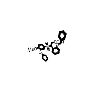 COc1ccc(S(=O)(=O)C(CC(=O)O)c2ccccc2OCc2ccccc2)cc1OC1CCCC1